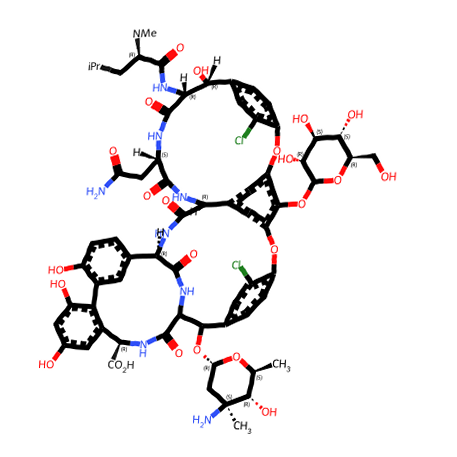 CN[C@H](CC(C)C)C(=O)N[C@H]1C(=O)N[C@@H](CC(N)=O)C(=O)N[C@H]2C(=O)N[C@H]3C(=O)NC(C(=O)N[C@@H](C(=O)O)c4cc(O)cc(O)c4-c4cc3ccc4O)C(O[C@H]3C[C@](C)(N)[C@@H](O)[C@H](C)O3)c3ccc(c(Cl)c3)Oc3cc2cc(c3OC2O[C@H](CO)[C@@H](O)[C@H](O)[C@H]2O)Oc2ccc(cc2Cl)[C@H]1O